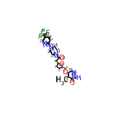 Cc1c(OC[C@H]2CC[C@@H](CC(=O)N3CCN(c4ccc(C(F)(F)F)cn4)CC3)O2)cn[nH]c1=O